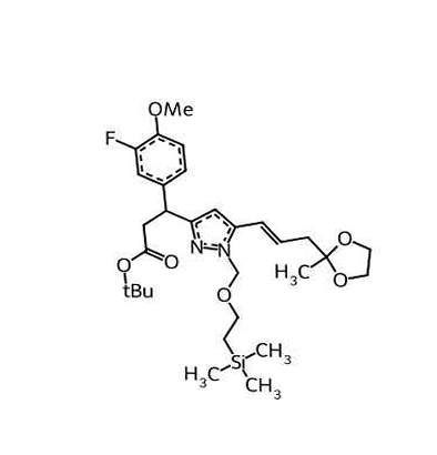 COc1ccc(C(CC(=O)OC(C)(C)C)c2cc(/C=C/CC3(C)OCCO3)n(COCC[Si](C)(C)C)n2)cc1F